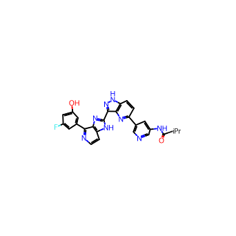 CC(C)C(=O)Nc1cncc(-c2ccc3[nH]nc(-c4nc5c(-c6cc(O)cc(F)c6)nccc5[nH]4)c3n2)c1